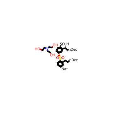 CCCCCCCCCCCCc1ccccc1S(=O)(=O)O.CCCCCCCCCCCCc1ccccc1S(=O)(=O)[O-].OCCN(CCO)CCO.[Na+]